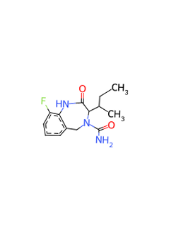 CCC(C)C1C(=O)Nc2c(F)cccc2CN1C(N)=O